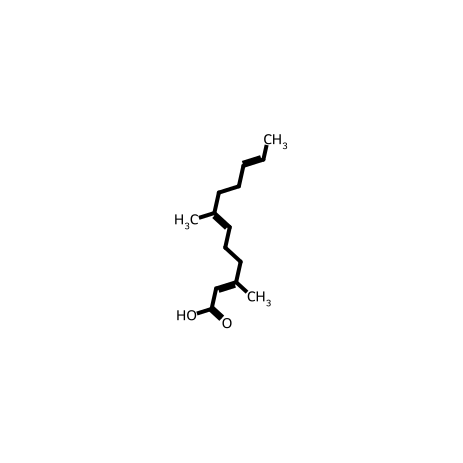 CC=CCCC(C)=CCCC(C)=CC(=O)O